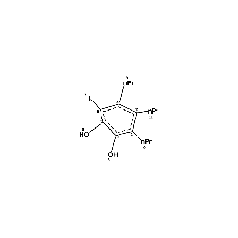 CCCc1c(O)c(O)c(I)c(CCC)c1CCC